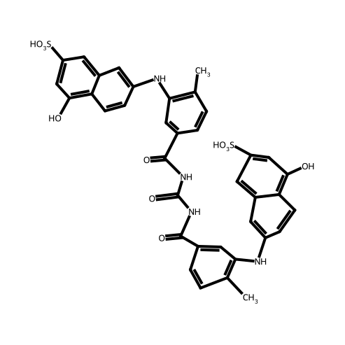 Cc1ccc(C(=O)NC(=O)NC(=O)c2ccc(C)c(Nc3ccc4c(O)cc(S(=O)(=O)O)cc4c3)c2)cc1Nc1ccc2c(O)cc(S(=O)(=O)O)cc2c1